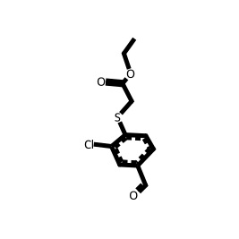 CCOC(=O)CSc1ccc(C=O)cc1Cl